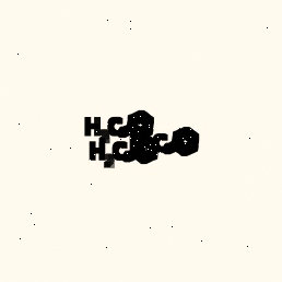 C=Cc1ccccc1.C=Cc1ccccc1.C=Cc1ccccc1